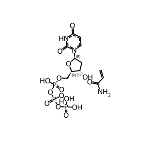 C=CC(N)=O.O=c1ccn([C@H]2C[C@H](O)[C@@H](COP(=O)(O)OP(=O)(O)OP(=O)(O)O)O2)c(=O)[nH]1